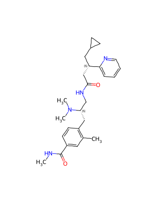 CNC(=O)c1ccc(C[C@@H](CNC(=O)C[C@H](CC2CC2)c2ccccn2)N(C)C)c(C)c1